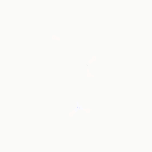 Cc1cc(CC(C(=O)OF)C(C)CC=O)ccc1[N+](=O)[O-]